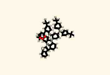 CC(C)(C)c1ccc(N(C2=CCC3B4c5c(cc(C(C)(C)C)cc5-n5c6oc7ccccc7c6c6cccc4c65)N(c4ccc(C(C)(C)C)cc4-c4ccccc4)C3=C2)c2ccc(C(C)(C)C)cc2)cc1